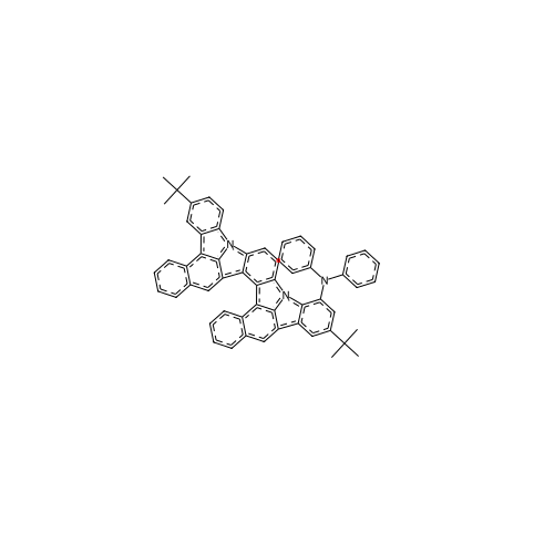 CC(C)(C)c1ccc2c(c1)c1c3ccccc3cc3c4c5c6c7ccccc7cc7c8cc(C(C)(C)C)cc(N(c9ccccc9)c9ccccc9)c8n(c5ccc4n2c31)c76